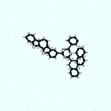 c1ccc(-c2nc(-c3ccc4oc5c(ccc6c7ccccc7oc65)c4c3)nc(C3Cc4ccccc4-c4ccc5ccccc5c43)n2)cc1